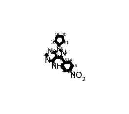 Nc1ncnc2c1c(-c1ccc([N+](=O)[O-])cc1)nn2C1CCCC1